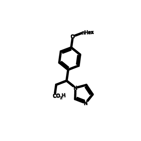 CCCCCCOc1ccc(C(CC(=O)O)n2ccnc2)cc1